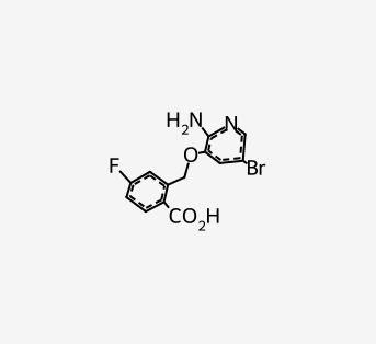 Nc1ncc(Br)cc1OCc1cc(F)ccc1C(=O)O